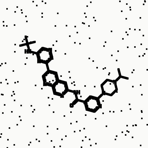 CC(C)N1CCN(c2cc(C(=O)Nc3cc4cc(-c5cncc(NC(C)(C)C)n5)cnc4cn3)ccn2)CC1